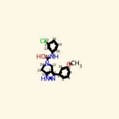 COc1cccc(-c2n[nH]c3c2CN(C(O)Nc2cccc(Cl)c2)CC3)c1